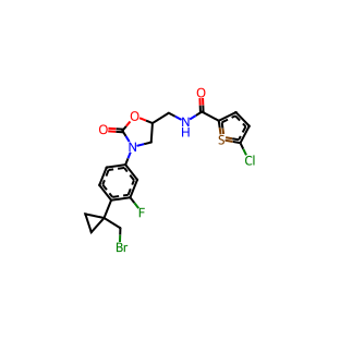 O=C(NCC1CN(c2ccc(C3(CBr)CC3)c(F)c2)C(=O)O1)c1ccc(Cl)s1